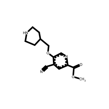 COC(=O)c1cc(C#N)c(OCC2CCNCC2)cn1